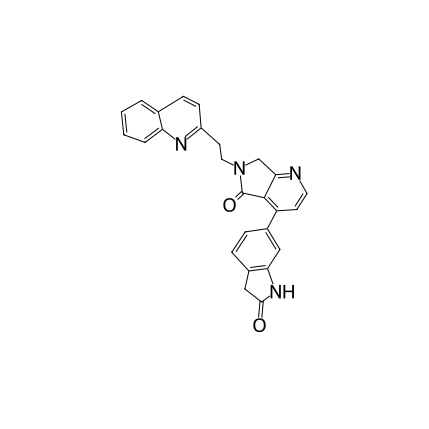 O=C1Cc2ccc(-c3ccnc4c3C(=O)N(CCc3ccc5ccccc5n3)C4)cc2N1